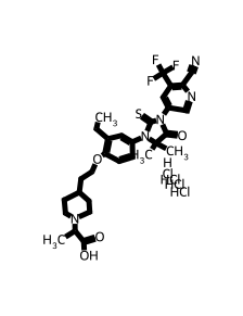 CCc1cc(N2C(=S)N(c3cnc(C#N)c(C(F)(F)F)c3)C(=O)C2(C)C)ccc1OCCC1CCN(C(C)C(=O)O)CC1.Cl.Cl.Cl.Cl